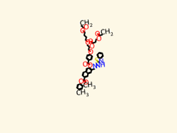 C=CC(=O)OCCCCOCC(COc1ccc(C(=O)Oc2cc3ccc(C(=O)Oc4ccc(C)cc4C)cc3cc2/C=N/Nc2nc3ccccc3s2)cc1)OC(=O)CCOC(=O)C=C